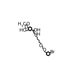 CC(=O)Oc1ccc([C@@H](O)CNCCCCCCOCCOCc2cccc(Br)c2)cc1CO